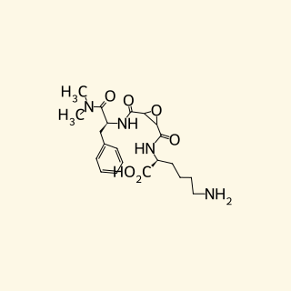 CN(C)C(=O)[C@H](Cc1ccccc1)NC(=O)C1OC1C(=O)N[C@@H](CCCCN)C(=O)O